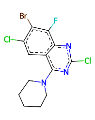 Fc1c(Br)c(Cl)cc2c(N3CCCCC3)nc(Cl)nc12